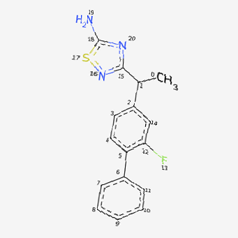 CC(c1ccc(-c2ccccc2)c(F)c1)c1nsc(N)n1